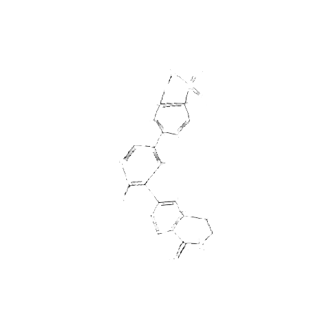 Nc1ncc(-c2ccc3c(c2)CNS3(=O)=O)cc1-c1ccc2c(c1)CCNC2=O